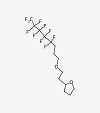 FC(F)(F)C(F)(F)C(F)(F)C(F)(F)C(F)(F)CCCOCCC1CCCO1